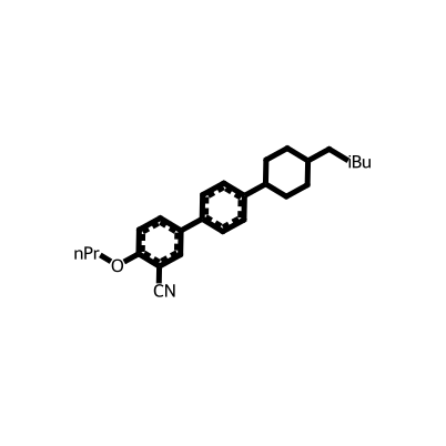 CCCOc1ccc(-c2ccc(C3CCC(CC(C)CC)CC3)cc2)cc1C#N